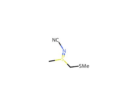 CSCS(C)=NC#N